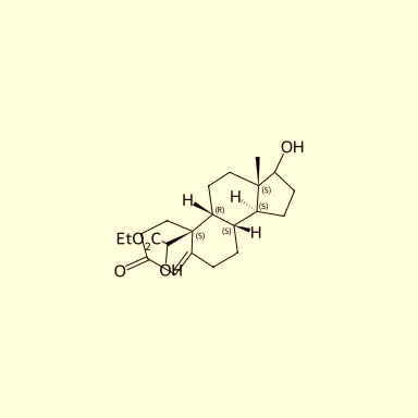 CCOC(=O)C(O)[C@]12CCC(=O)C=C1CC[C@@H]1[C@H]2CC[C@]2(C)C(O)CC[C@@H]12